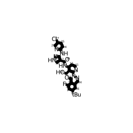 CC(C)(C)c1cc(F)c2c(=O)n(-c3nccc(NC(=O)c4c[nH]nc4Nc4ccc(Cl)cn4)c3CO)ncc2c1